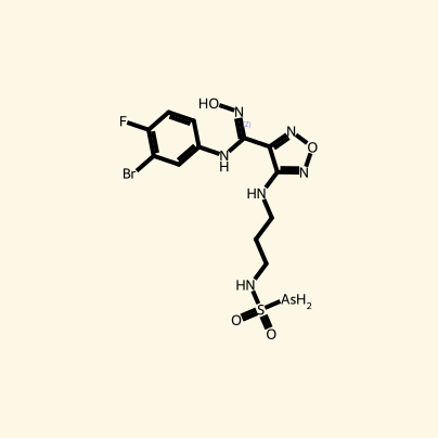 O=S(=O)([AsH2])NCCCNc1nonc1/C(=N/O)Nc1ccc(F)c(Br)c1